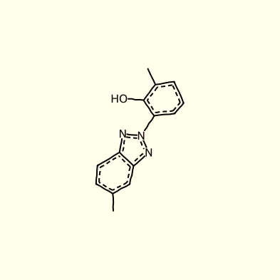 Cc1ccc2nn(-c3cccc(C)c3O)nc2c1